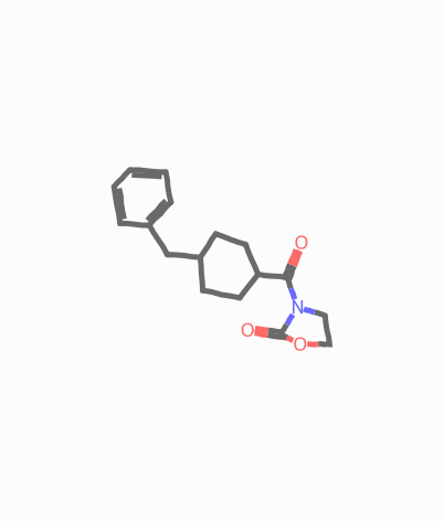 O=C1OCCN1C(=O)C1CCC(Cc2ccccc2)CC1